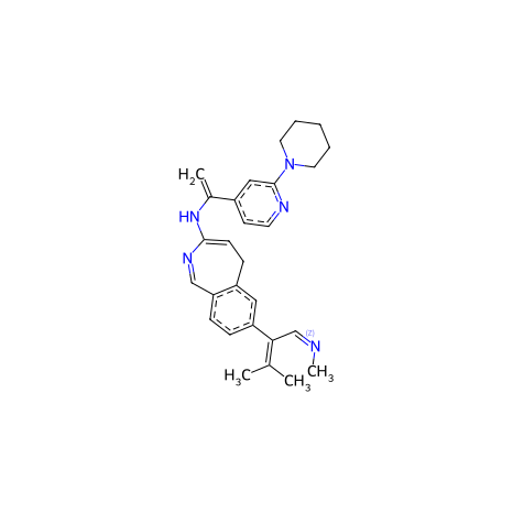 C=C(NC1=CCc2cc(C(/C=N\C)=C(C)C)ccc2C=N1)c1ccnc(N2CCCCC2)c1